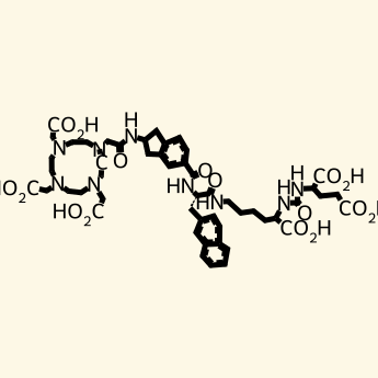 O=C(O)CCC(NC(=O)NC(CCCCNC(=O)[C@H](Cc1ccc2ccccc2c1)NC(=O)c1ccc2c(c1)CC(NC(=O)CN1CCN(CC(=O)O)CCN(CC(=O)O)CCN(CC(=O)O)CC1)C2)C(=O)O)C(=O)O